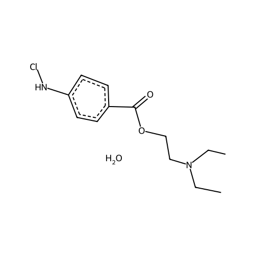 CCN(CC)CCOC(=O)c1ccc(NCl)cc1.O